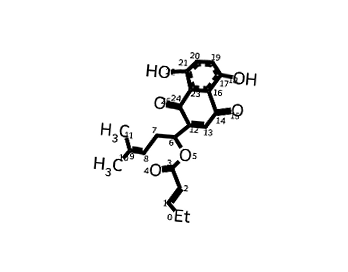 CC/C=C/C(=O)OC(CC=C(C)C)C1=CC(=O)c2c(O)ccc(O)c2C1=O